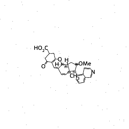 CO[C@@H]1C[C@H]2[C@@H]3OC4=C(C=C3C=C[C@]2(C)[C@H]1c1cccc2cnccc12)C(=O)CC(C(=O)O)C4